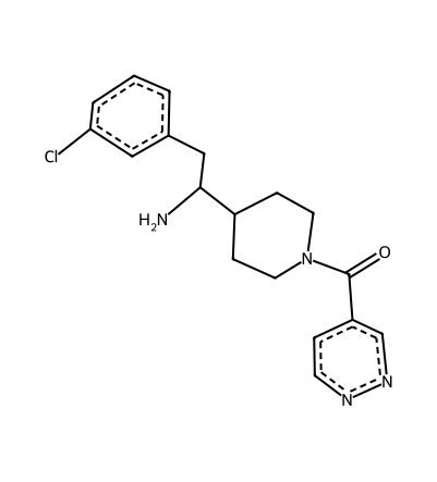 NC(Cc1cccc(Cl)c1)C1CCN(C(=O)c2ccnnc2)CC1